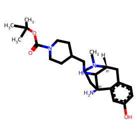 CN1CC[C@@]2(N)c3cc(O)ccc3C[C@@H]1C2NCC1CCN(C(=O)OC(C)(C)C)CC1